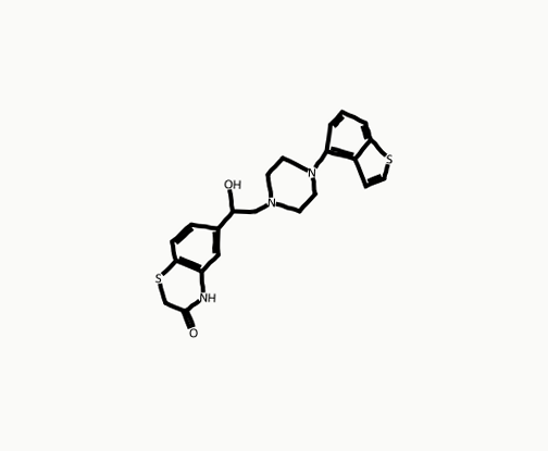 O=C1CSc2ccc(C(O)CN3CCN(c4cccc5sccc45)CC3)cc2N1